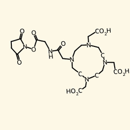 O=C(O)CN1CCN(CC(=O)O)CCN(CC(=O)NCC(=O)ON2C(=O)CCC2=O)CCN(CC(=O)O)CC1